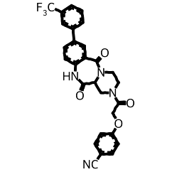 N#Cc1ccc(OCC(=O)N2CCN3C(=O)c4cc(-c5cccc(C(F)(F)F)c5)ccc4NC(=O)C3C2)cc1